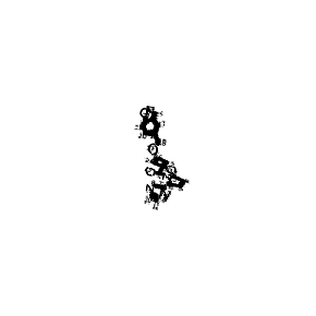 O=C1N2C(CC[C@H]2c2cnccn2)OC12CC(OCc1ccc3oncc3c1)C2